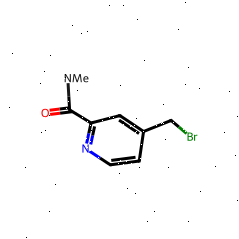 CNC(=O)c1cc(CBr)ccn1